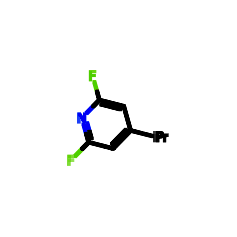 CC(C)c1cc(F)nc(F)c1